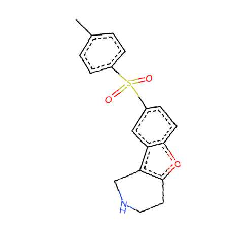 Cc1ccc(S(=O)(=O)c2ccc3oc4c(c3c2)CNCC4)cc1